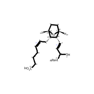 CCCCCC(O)/C=C/[C@@H]1[C@H](C/C=C\CCCC(=O)O)[C@@H]2CC[C@H]1O2